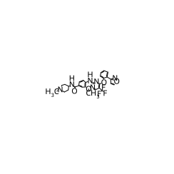 COc1cc(C(=O)NC2CCN(C)CC2)ccc1Nc1ncc(C(F)(F)F)c(Oc2ccccc2-c2ccon2)n1